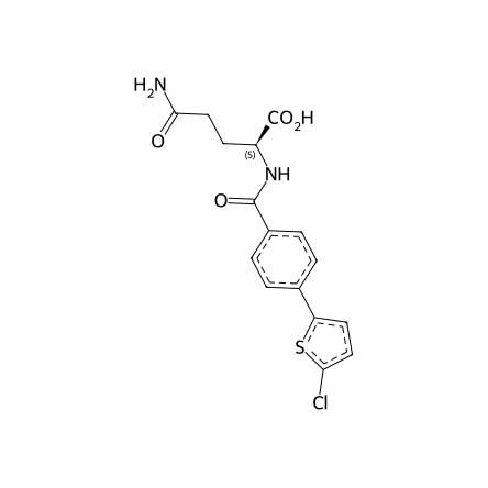 NC(=O)CC[C@H](NC(=O)c1ccc(-c2ccc(Cl)s2)cc1)C(=O)O